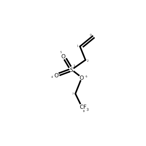 C=CCS(=O)(=O)OCC(F)(F)F